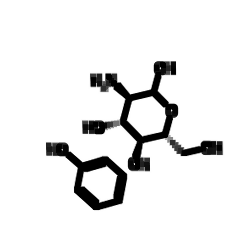 N[C@H]1C(O)O[C@H](CO)[C@@H](O)[C@@H]1O.Oc1ccccc1